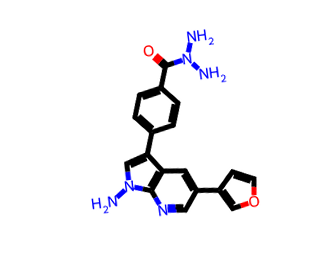 NN(N)C(=O)c1ccc(-c2cn(N)c3ncc(-c4ccoc4)cc23)cc1